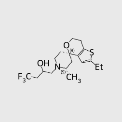 CCc1cc2c(s1)CCO[C@@]21CCN(CC(O)CC(F)(F)F)[C@@H](C)C1